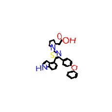 O=C(O)CC1CCCN1c1nc(-c2ccc(Oc3ccccc3)cc2)c(-c2cccc3[nH]ccc23)s1